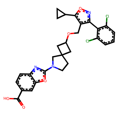 O=C(O)c1ccc2nc(N3CCC4(CC(OCc5c(-c6c(Cl)cccc6Cl)noc5C5CC5)C4)C3)oc2c1